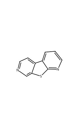 c1cnc2sc3cnccc3c2c1